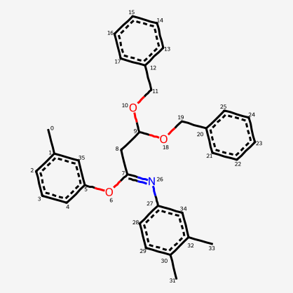 Cc1cccc(OC(CC(OCc2ccccc2)OCc2ccccc2)=Nc2ccc(C)c(C)c2)c1